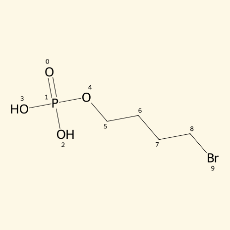 O=P(O)(O)OCCCCBr